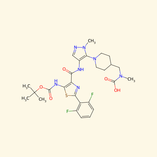 CN(CC1CCN(c2c(NC(=O)c3nc(-c4c(F)cccc4F)sc3NC(=O)OC(C)(C)C)cnn2C)CC1)C(=O)O